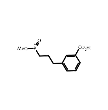 CCOC(=O)c1cccc(CCC[PH](=O)OC)c1